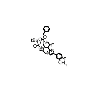 Cc1cc(-c2cn(CC3CN(C(=O)OC(C)(C)C)C3)c(C3CCN(C(=O)OCc4ccccc4)CC3F)n2)ccc1F